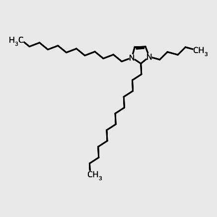 CCCCCCCCCCCCCC1N(CCCCC)C=CN1CCCCCCCCCCCC